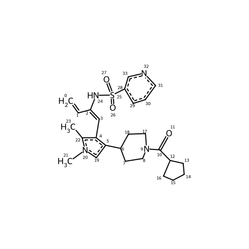 C=C/C(=C\c1c(C2CCN(C(=O)C3CCCC3)CC2)cn(C)c1C)NS(=O)(=O)c1cccnc1